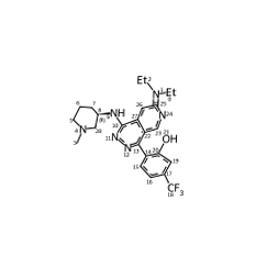 CCNCC.CN1CCC[C@@H](Nc2nnc(-c3ccc(C(F)(F)F)cc3O)c3cnccc23)C1